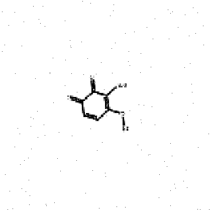 CCCCC1=C(OCC)C=CC(=O)C1=O